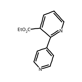 CCOC(=O)c1cccnc1-c1ccncc1